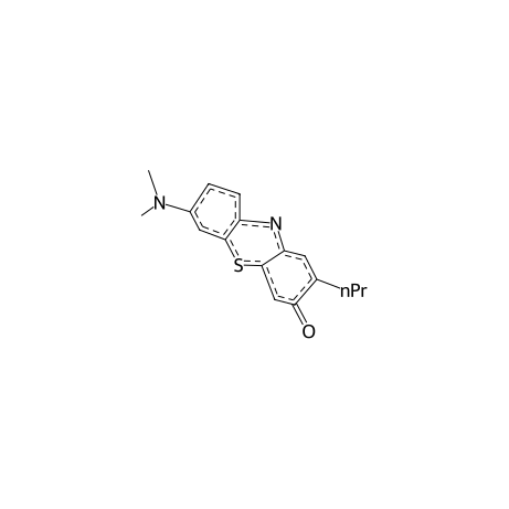 CCCc1cc2nc3ccc(N(C)C)cc3sc-2cc1=O